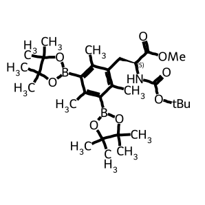 COC(=O)[C@H](Cc1c(C)c(B2OC(C)(C)C(C)(C)O2)c(C)c(B2OC(C)(C)C(C)(C)O2)c1C)NC(=O)OC(C)(C)C